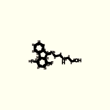 OCCNCCN=C1c2ccccc2-c2c(F)ccc(F)c21